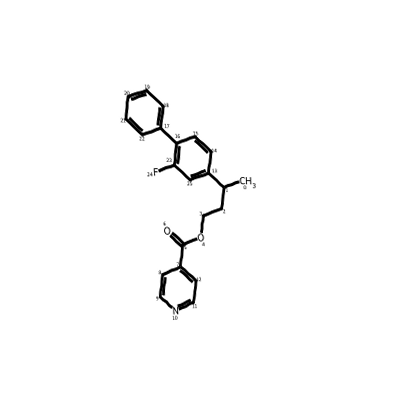 CC(CCOC(=O)c1ccncc1)c1ccc(-c2ccccc2)c(F)c1